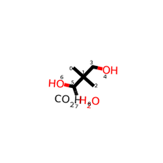 CC(C)(CO)C(O)C(=O)O.O